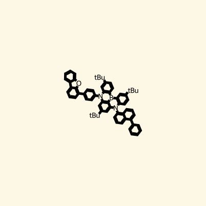 CC(C)(C)c1ccc2c(c1)B1c3ccc(C(C)(C)C)cc3N(c3ccc(-c4cccc5c4oc4ccccc45)cc3)c3cc(C(C)(C)C)cc(c31)N2c1cccc2c(-c3ccccc3)cccc12